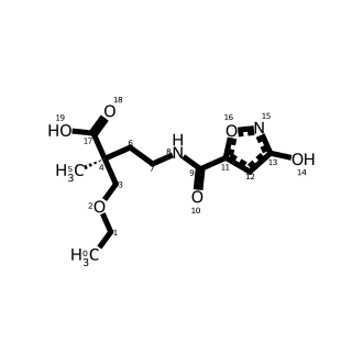 CCOC[C@](C)(CCNC(=O)c1cc(O)no1)C(=O)O